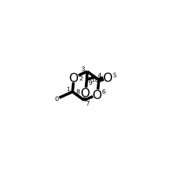 CC1OC2C(=O)OC1OC2C